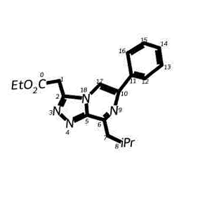 CCOC(=O)Cc1nnc2c(CC(C)C)nc(-c3ccccc3)cn12